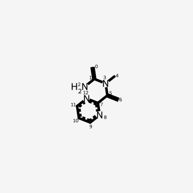 C=C(N)N(C)C(=C)c1ncccn1